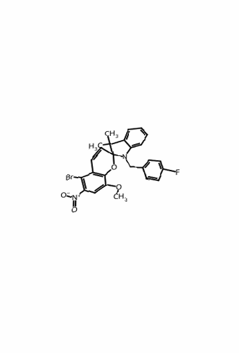 COc1cc([N+](=O)[O-])c(Br)c2c1OC1(C=C2)N(Cc2ccc(F)cc2)c2ccccc2C1(C)C